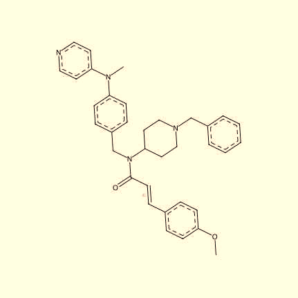 COc1ccc(/C=C/C(=O)N(Cc2ccc(N(C)c3ccncc3)cc2)C2CCN(Cc3ccccc3)CC2)cc1